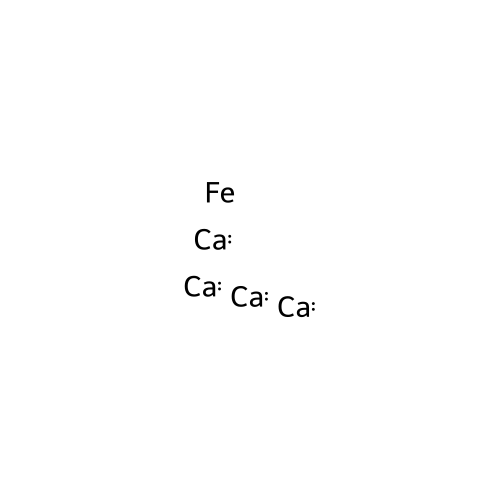 [Ca].[Ca].[Ca].[Ca].[Fe]